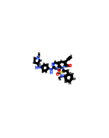 C#Cc1cc2cnc(Nc3ccc(NC4CCN(C)C4)cc3)nc2n(C2Cc3ccccc3N(C)S2(=O)=O)c1=O